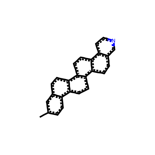 Cc1ccc2c(ccc3c2ccc2c4ccc5cnccc5c4ccc32)c1